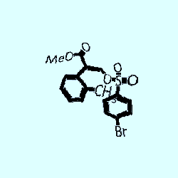 COC(=O)C(=COS(=O)(=O)c1ccc(Br)cc1)c1ccccc1C